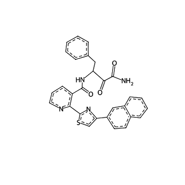 NC(=O)C(=O)C(Cc1ccccc1)NC(=O)c1cccnc1-c1nc(-c2ccc3ccccc3c2)cs1